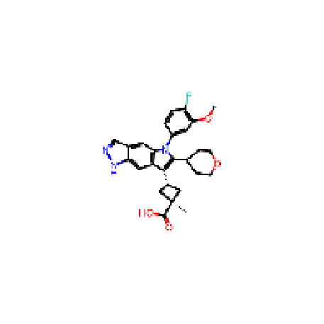 COc1cc(-n2c(C3CCOCC3)c([C@H]3C[C@](C)(C(=O)O)C3)c3cc4[nH]ncc4cc32)ccc1F